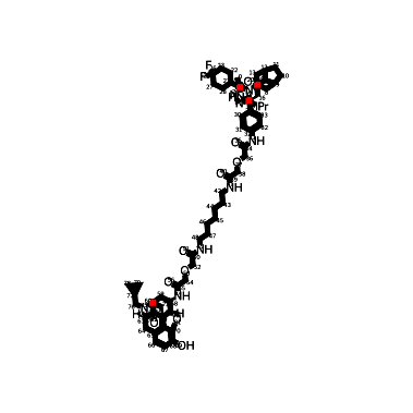 Cc1nnc(C(C)C)n1C1CC2CCC(C1)C2CC[C@H](NC(=O)C1CCC(F)(F)CC1)c1ccc(NC(=O)COCC(=O)NCCCCCCCNC(=O)COCC(=O)N[C@@H]2CC[C@@]3(O)[C@H]4Cc5ccc(O)c6c5[C@@]3(CCN4CC3CC3)[C@H]2O6)cc1